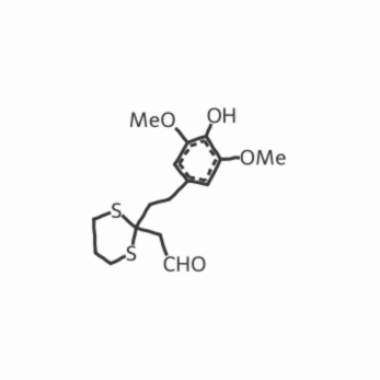 COc1cc(CCC2(CC=O)SCCCS2)cc(OC)c1O